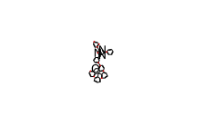 c1ccc(-c2nc(-c3ccccc3)nc(-c3cccc(-c4cccc5c4Oc4ccccc4C5(c4ccccc4)c4ccccc4)c3)n2)cc1